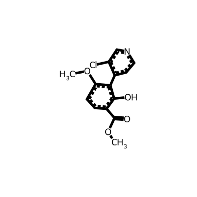 COC(=O)c1ccc(OC)c(-c2ccncc2Cl)c1O